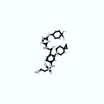 O=C(Nc1nnc(OC2CCC(F)(F)CC2)s1)c1ccc(NS(=O)(=O)CCO)cc1N1CCC2(CC1)CC2